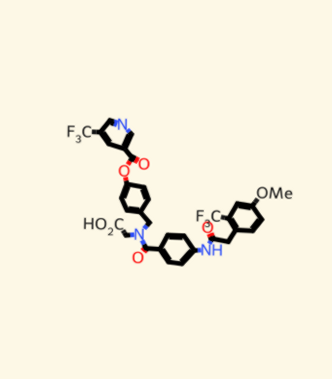 COc1ccc(CC(=O)Nc2ccc(C(=O)N(CC(=O)O)Cc3ccc(OC(=O)c4cncc(C(F)(F)F)c4)cc3)cc2)c(C(F)(F)F)c1